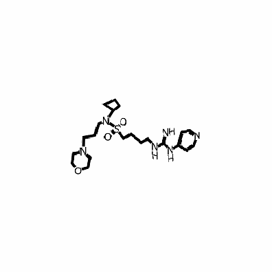 N=C(NCCCCS(=O)(=O)N(CCCN1CCOCC1)C1CCC1)Nc1ccncc1